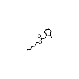 C=CCCCOC(=O)Cc1ccccc1C